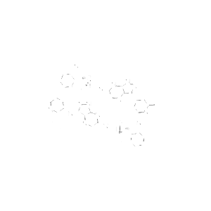 Cn1ccc(-c2n[nH]c3nc(N4CC[C@@H]5[C@H](C4)[C@@]5(CN)c4ccccc4F)cnc23)c(Cl)c1=O.NC[C@]1(c2ccccc2F)[C@@H]2CCN(c3cnc4c(N5CC6(CCC6)c6ncccc65)n[nH]c4n3)C[C@@H]21